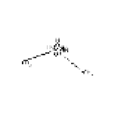 CCCCCCCCCCCCCCCC(O)C(C(=O)C(O)CCCCCCCCCCCCCC)C(N)O